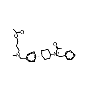 CC(=O)OCCCN(C)Cc1ccc([C@H]2CC[C@H]([N+](Cc3ccccc3)C(C)=O)CC2)cc1